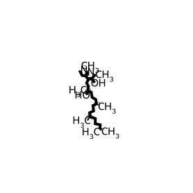 Cc1nc2c(c(CC[C@](C)(O)CCC[C@H](C)CCC[C@H](C)CCCC(C)C)c1O)CCN2C